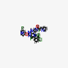 CN(c1nc(OC[C@@]23CCCN2C[C@H](F)C3)nc2c(F)c(-c3cccc(Cl)c3C(F)(F)F)ncc12)[C@@H]1CCN(C(=O)/C(F)=C/c2ccccn2)C1